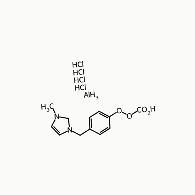 CN1C=CN(Cc2ccc(OOC(=O)O)cc2)C1.Cl.Cl.Cl.Cl.[AlH3]